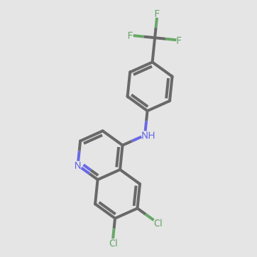 FC(F)(F)c1ccc(Nc2ccnc3cc(Cl)c(Cl)cc23)cc1